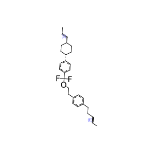 C/C=C/CCc1ccc(CCOC(F)(F)c2ccc([C@H]3CC[C@H](/C=C/C)CC3)cc2)cc1